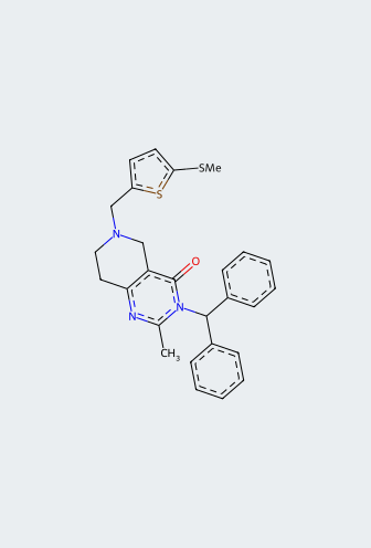 CSc1ccc(CN2CCc3nc(C)n(C(c4ccccc4)c4ccccc4)c(=O)c3C2)s1